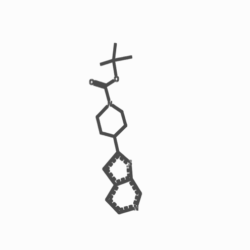 CC(C)(C)OC(=O)N1CCC(c2cc3ccncc3s2)CC1